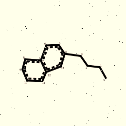 CCCCc1ccc2ccc[c]c2c1